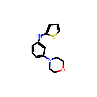 c1cc(Nc2cccs2)cc(N2CCOCC2)c1